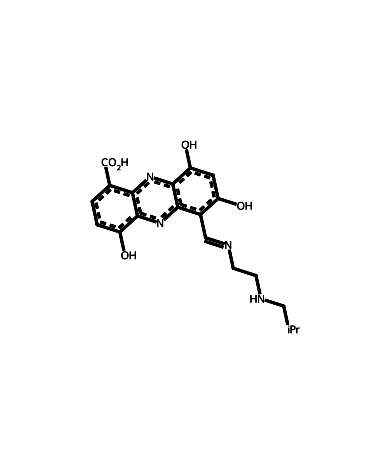 CC(C)CNCCN=Cc1c(O)cc(O)c2nc3c(C(=O)O)ccc(O)c3nc12